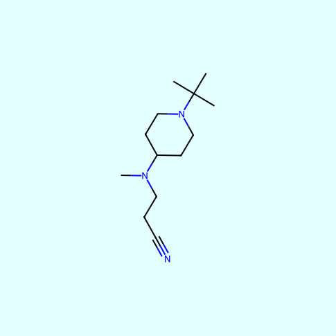 CN(CCC#N)C1CCN(C(C)(C)C)CC1